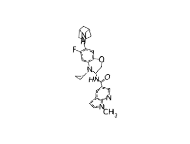 Cn1ccc2cc(C(=O)NC3COc4cc(N5CC6CC(C5)N6)c(F)cc4N3C3CC3)cnc21